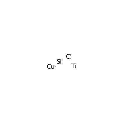 [C].[Cu].[Si].[Ti]